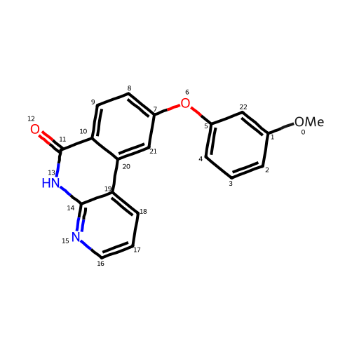 COc1cccc(Oc2ccc3c(=O)[nH]c4ncccc4c3c2)c1